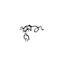 CCOC(=O)Cc1cn2cc(Cl)nc(N3CCOCC3)c2n1